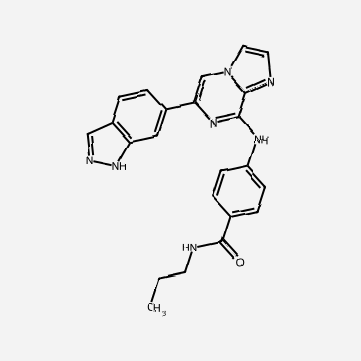 CCCNC(=O)c1ccc(Nc2nc(-c3ccc4cn[nH]c4c3)cn3ccnc23)cc1